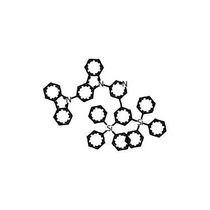 c1ccc([Si](c2ccccc2)(c2ccccc2)c2cc(-c3cncc(-n4c5ccccc5c5cc(-n6c7ccccc7c7ccccc76)ccc54)c3)cc([Si](c3ccccc3)(c3ccccc3)c3ccccc3)c2)cc1